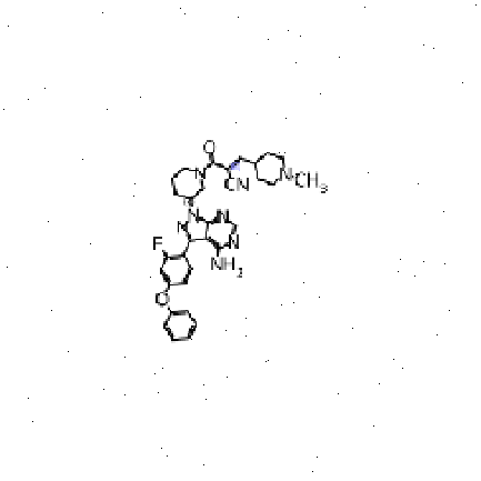 CN1CCC(/C=C(\C#N)C(=O)N2CCC[C@H](n3nc(-c4ccc(Oc5ccccc5)cc4F)c4c(N)ncnc43)C2)CC1